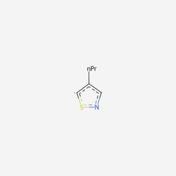 CCCc1[c]snc1